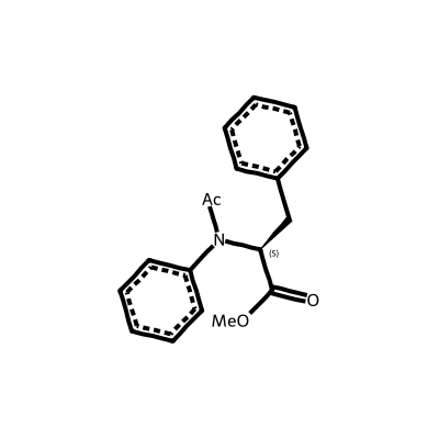 COC(=O)[C@H](Cc1ccccc1)N(C(C)=O)c1ccccc1